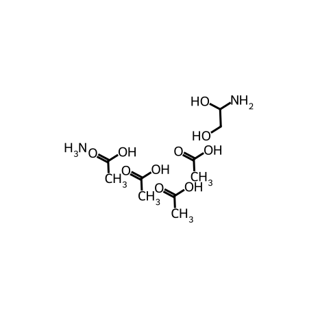 CC(=O)O.CC(=O)O.CC(=O)O.CC(=O)O.N.NC(O)CO